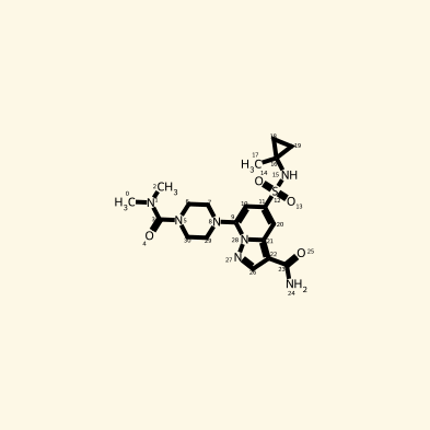 CN(C)C(=O)N1CCN(c2cc(S(=O)(=O)NC3(C)CC3)cc3c(C(N)=O)cnn23)CC1